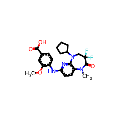 COc1cc(C(=O)O)ccc1Nc1ccc2c(n1)N(C1CCCC1)CC(F)(F)C(=O)N2C